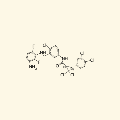 Nc1ccc(F)c(NCc2cc(NC(=O)[C@H]3[C@H](c4ccc(Cl)c(Cl)c4)C3(Cl)Cl)ccc2Cl)c1F